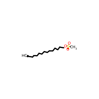 C#CCCCCCCCCCCCCCOS(C)(=O)=O